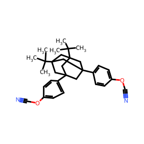 CC(C)(C)C12CC3(c4ccc(OC#N)cc4)CC(c4ccc(OC#N)cc4)(C1)CC(C(C)(C)C)(C3)C2